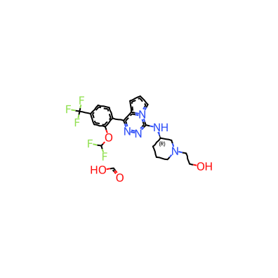 O=CO.OCCN1CCC[C@@H](Nc2nnc(-c3ccc(C(F)(F)F)cc3OC(F)F)c3cccn23)C1